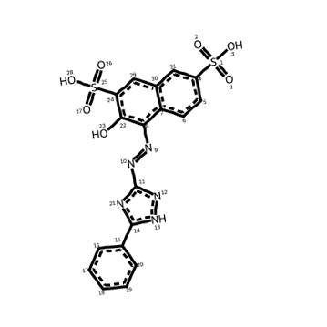 O=S(=O)(O)c1ccc2c(/N=N/c3n[nH]c(-c4ccccc4)n3)c(O)c(S(=O)(=O)O)cc2c1